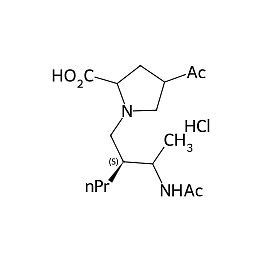 CCC[C@@H](CN1CC(C(C)=O)CC1C(=O)O)C(C)NC(C)=O.Cl